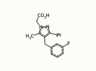 Cc1c(Cc2cccc(F)c2)c(C(C)C)nn1CC(=O)O